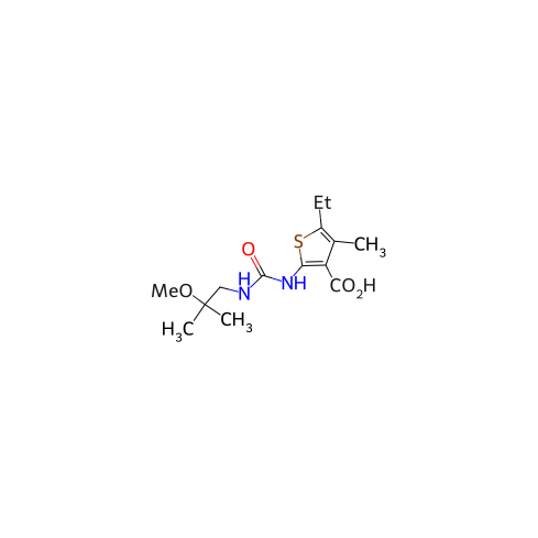 CCc1sc(NC(=O)NCC(C)(C)OC)c(C(=O)O)c1C